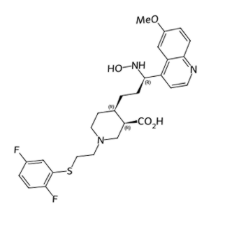 COc1ccc2nccc([C@@H](CC[C@@H]3CCN(CCSc4cc(F)ccc4F)C[C@@H]3C(=O)O)NO)c2c1